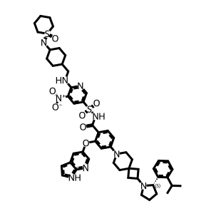 CC(C)c1ccccc1[C@@H]1CCCN1C1CC2(CCN(c3ccc(C(=O)NS(=O)(=O)c4cnc(NCC5CCC(N=S6(=O)CCCCC6)CC5)c([N+](=O)[O-])c4)c(Oc4cnc5[nH]ccc5c4)c3)CC2)C1